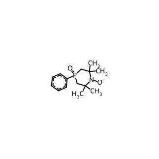 CC1(C)CP(=O)(c2ccccc2)CC(C)(C)N1[O]